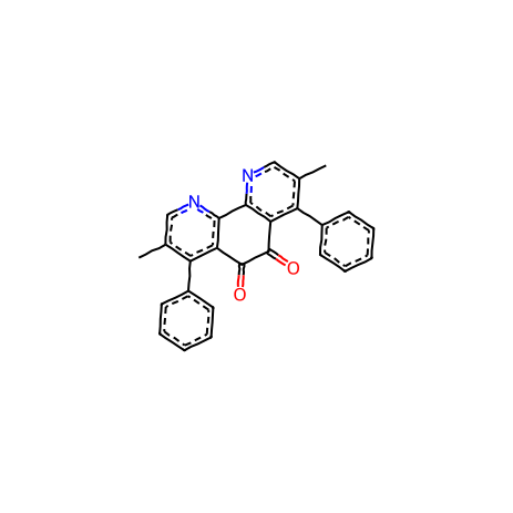 Cc1cnc2c(c1-c1ccccc1)C(=O)C(=O)c1c-2ncc(C)c1-c1ccccc1